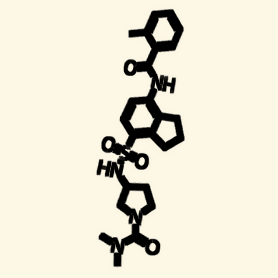 Cc1ccccc1C(=O)Nc1ccc(S(=O)(=O)NC2CCN(C(=O)N(C)C)C2)c2c1CCC2